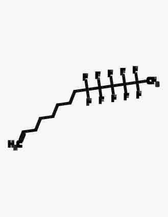 C=CCCCCCCC(F)(F)C(F)(F)C(F)(F)C(F)(F)C(F)(F)C(F)(F)F